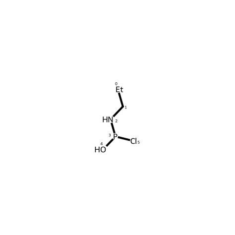 CCCNP(O)Cl